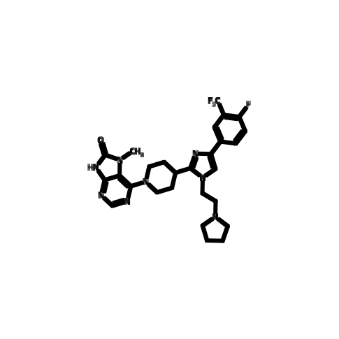 Cn1c(=O)[nH]c2ncnc(N3CCC(c4nc(-c5ccc(F)c(C(F)(F)F)c5)cn4CCN4CCCC4)CC3)c21